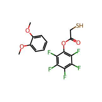 COc1ccccc1OC.O=C(CS)Oc1c(F)c(F)c(F)c(F)c1F